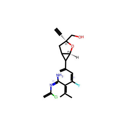 C#C[C@@]1(CO)CC2C(C(=C)/C=C(/F)C(=C(C)C)/C(N)=N\C(=C)Cl)[C@@H]2O1